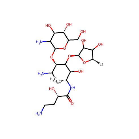 CC[C@H]1O[C@@H](OC(C(O)[C@@H](C)NC(=O)[C@@H](O)CCN)[C@H](OC2OC(CO)[C@@H](O)C(O)C2N)C(C)N)C(O)C1O